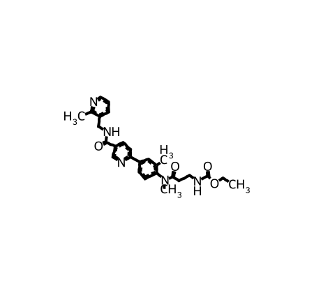 CCOC(=O)NCCC(=O)N(C)c1ccc(-c2ccc(C(=O)NCc3cccnc3C)cn2)cc1C